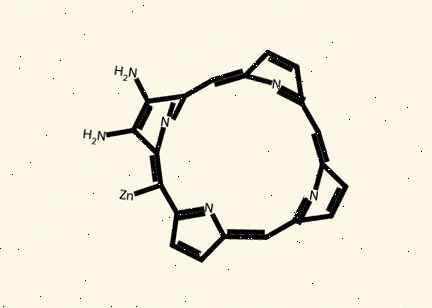 NC1=C(N)C2=[C]([Zn])C3=NC(=CC4=NC(=CC5=NC(=CC1=N2)C=C5)C=C4)C=C3